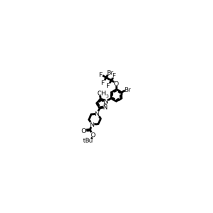 Cc1cc(N2CCN(C(=O)OC(C)(C)C)CC2)nn1-c1ccc(Br)c(OC(F)(F)C(F)(F)Br)c1